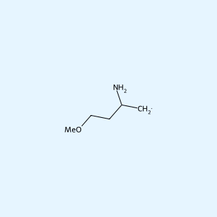 [CH2]C(N)CCOC